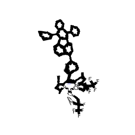 CC1=CC(C)=N/C1=C(/c1ccc(-c2ccc3c4c(cccc24)-c2c-3c(-c3ccccc3)c3ccccc3c2-c2ccccc2)cc1)c1c(C)cc(C)n1B(OCC(F)(F)C(F)(F)F)OCC(F)(F)C(F)(F)F